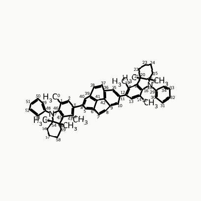 Cc1cc(-c2cc3ccc4cc(-c5cc(C)c6c(c5C)C5(C)CCCCC5(C)N6c5ccccc5)cc5ccc(c2)c3c45)c(C)c2c1N(c1ccccc1)C1(C)CCCCC21C